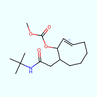 COC(=O)OC1/C=C/CCCCC1CC(=O)NC(C)(C)C